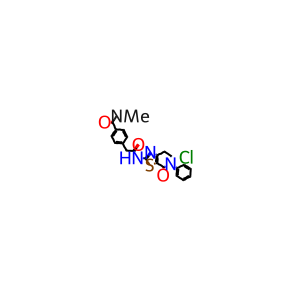 CNC(=O)c1ccc(CC(=O)Nc2nc3c(s2)C(=O)N(c2ccccc2Cl)CC3)cc1